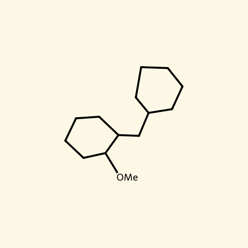 COC1CCCCC1CC1CCCCC1